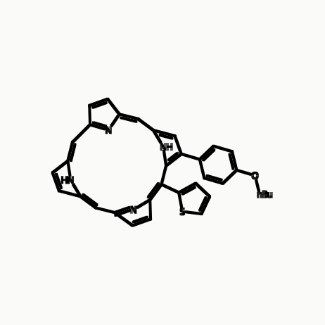 CCCCOc1ccc(-c2cc3cc4nc(cc5ccc(cc6nc(c(-c7cccs7)c2[nH]3)C=C6)[nH]5)C=C4)cc1